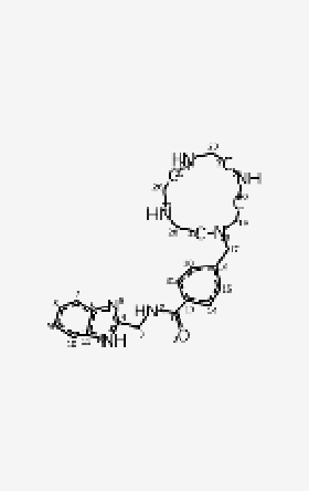 O=C(NCc1nc2ccccc2[nH]1)c1ccc(CN2CCNCCNCCNCC2)cc1